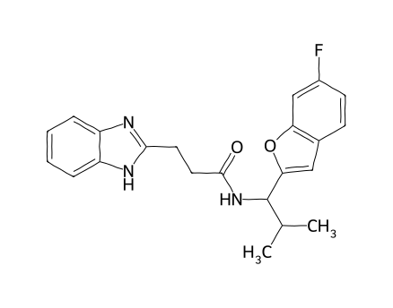 CC(C)C(NC(=O)CCc1nc2ccccc2[nH]1)c1cc2ccc(F)cc2o1